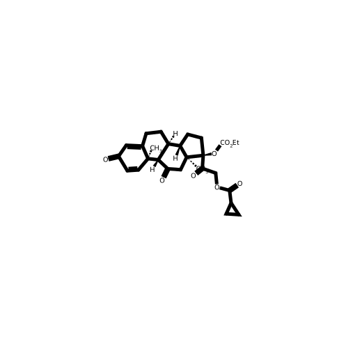 CCOC(=O)O[C@]1(C(=O)COC(=O)C2CC2)CC[C@H]2[C@@H]3CCC4=CC(=O)C=C[C@]4(C)[C@H]3C(=O)C[C@@]21C